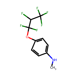 CNc1ccc(OC(F)(F)C(F)C(F)(F)F)cc1